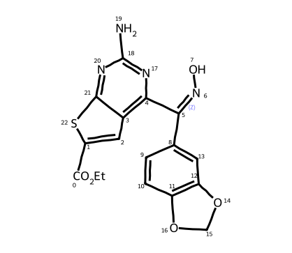 CCOC(=O)c1cc2c(/C(=N\O)c3ccc4c(c3)OCO4)nc(N)nc2s1